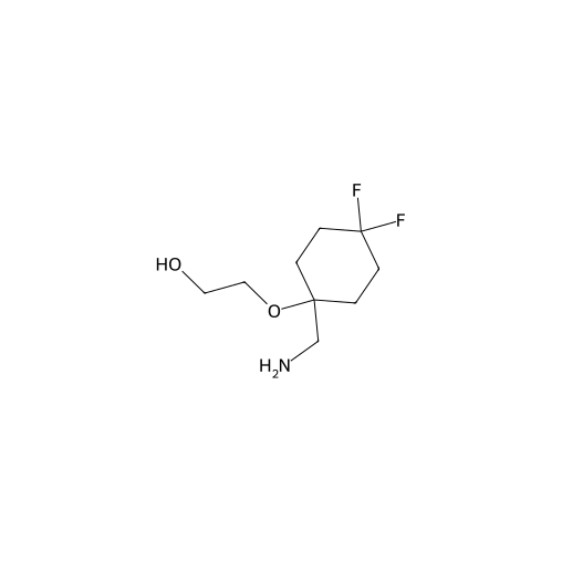 NCC1(OCCO)CCC(F)(F)CC1